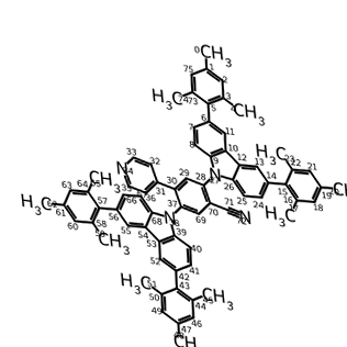 Cc1cc(C)c(-c2ccc3c(c2)c2cc(-c4c(C)cc(C)cc4C)ccc2n3-c2cc(-c3ccncc3)c(-n3c4ccc(-c5c(C)cc(C)cc5C)cc4c4cc(-c5c(C)cc(C)cc5C)ccc43)cc2C#N)c(C)c1